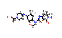 Cc1cc2c(cc1NC1CCN(C(=O)O)CC1)OCCN2c1nc2c(s1)C(=O)NC(C)(C)C2